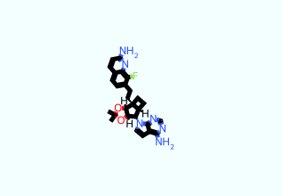 CC1(C)O[C@H]2[C@H](n3ccc4c(N)ncnc43)[C@H]3CC[C@@]3(CCc3ccc4ccc(N)nc4c3F)[C@H]2O1